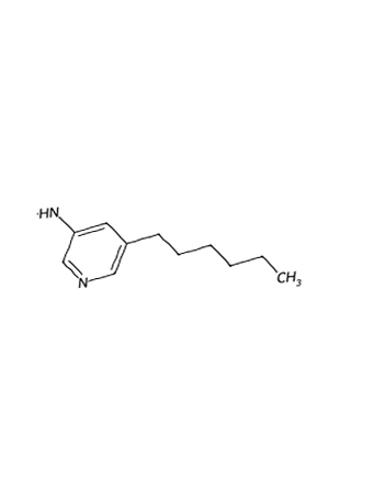 CCCCCCc1cncc([NH])c1